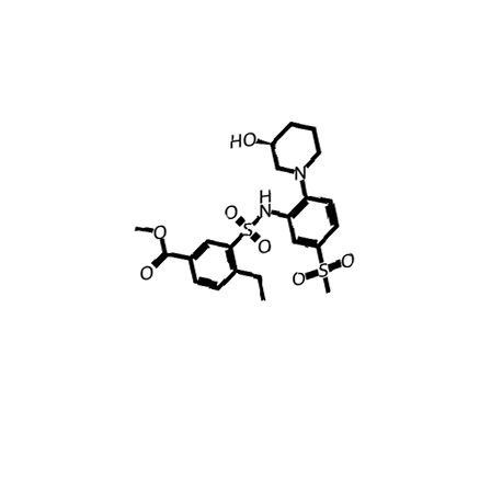 CCc1ccc(C(=O)OC)cc1S(=O)(=O)Nc1cc(S(C)(=O)=O)ccc1N1CCC[C@H](O)C1